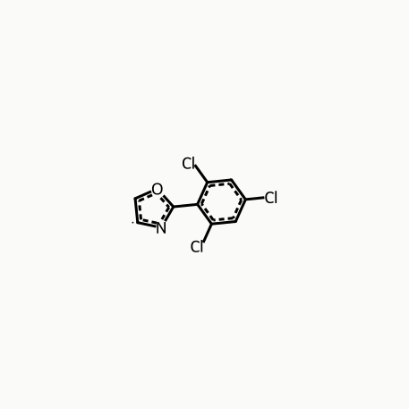 Clc1cc(Cl)c(-c2n[c]co2)c(Cl)c1